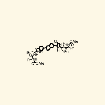 CC[C@H](C)C[C@H](NC(=O)[C@@H](NC(=O)OC)C(C)C)c1nc(Cl)c(-c2ccc3cc(-c4ccc5nc([C@H](C[C@@H](C)CC)NC(=O)[C@@H](NC(=O)OC)C(C)C)[nH]c5c4)ccc3c2)[nH]1